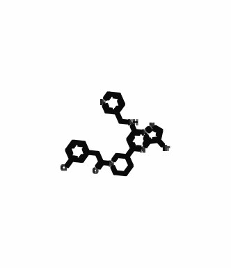 O=C(Cc1cccc(Cl)c1)N1CCCC(c2cc(NCc3cccnc3)n3ncc(Br)c3n2)C1